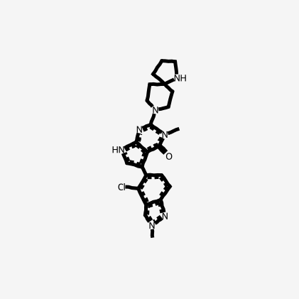 Cn1cc2c(Cl)c(-c3c[nH]c4nc(N5CCC6(CCCN6)CC5)n(C)c(=O)c34)ccc2n1